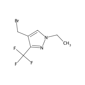 CCn1cc(CBr)c(C(F)(F)F)n1